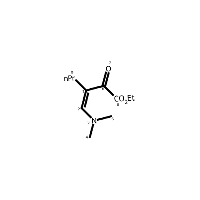 CCCC(=CN(C)C)C(=O)C(=O)OCC